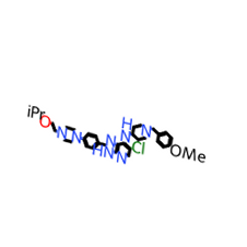 COc1ccc(CN2CCC(Nc3c(Cl)cnc4[nH]c(-c5ccc(N6CCN(CCOC(C)C)CC6)cc5)nc34)CC2)cc1